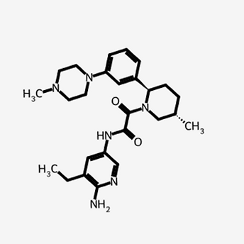 CCc1cc(NC(=O)C(=O)N2C[C@@H](C)CC[C@@H]2c2cccc(N3CCN(C)CC3)c2)cnc1N